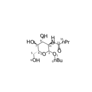 CCCCOC1O[C@H](CO)[C@@H](O)[C@H](O)[C@H]1NC(=O)CCC